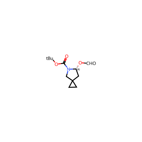 CC(C)(C)OC(=O)N1CC2(CC2)C[C@H]1OC=O